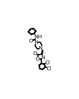 O=C1OC(c2cccc(Cl)c2Cl)=N/C1=C/N1CCN(C(=O)Nc2ccccc2)CC1